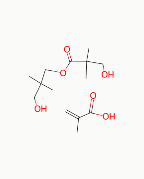 C=C(C)C(=O)O.CC(C)(CO)COC(=O)C(C)(C)CO